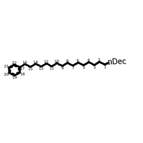 CCCCCCCCCCCCCCCCCCCCCCCCCCc1ccccc1